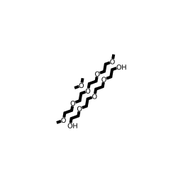 COC.COCCOCCOCCOCCOC.OCCOCCOCCOCCO